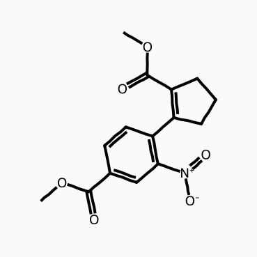 COC(=O)C1=C(c2ccc(C(=O)OC)cc2[N+](=O)[O-])CCC1